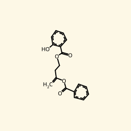 C=C(CCOC(=O)c1ccccc1O)OC(=O)c1ccccc1